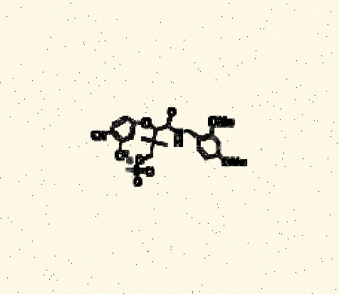 [C-]#[N+]c1ccc(OC(C(=O)NCc2ccc(OC)cc2OC)C(C)(C)COS(C)(=O)=O)cc1C(F)(F)F